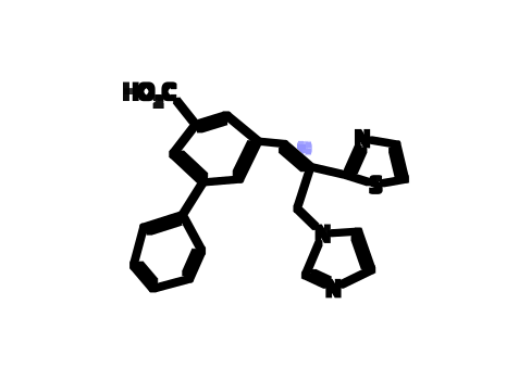 O=C(O)c1cc(/C=C(\Cn2ccnc2)c2nccs2)cc(-c2ccccc2)c1